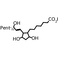 CCCCC[C@H](O)C=CC1C(O)CC(O)C1CCCCCCC(=O)O